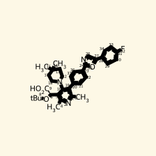 Cc1nc(C)c([C@H](OC(C)(C)C)C(=O)O)c(N2CCC(C)(C)CC2)c1-c1ccc(-c2ncc(-c3ccc(F)cc3)o2)cc1